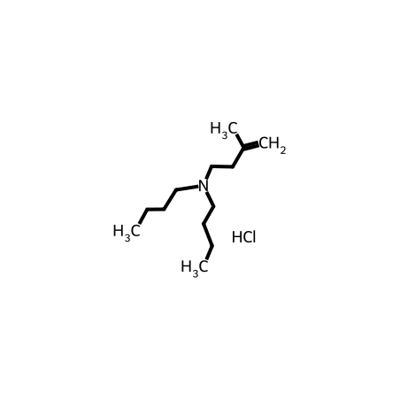 C=C(C)CCN(CCCC)CCCC.Cl